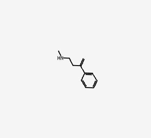 C=C(CCNC)c1ccccc1